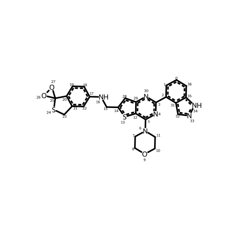 c1cc(-c2nc(N3CCOCC3)c3sc(CNc4ccc5c(c4)CSC54OO4)cc3n2)c2cn[nH]c2c1